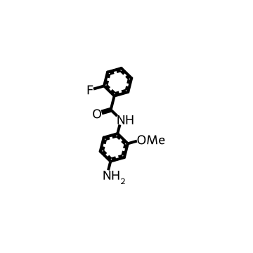 COc1cc(N)ccc1NC(=O)c1ccccc1F